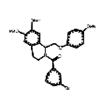 COc1ccc(OCC2c3cc(OC)c(OC)cc3CCN2C(=O)c2cccc(Br)c2)cc1